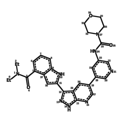 CCN(CC)C(=O)c1cccc2[nH]c(-c3n[nH]c4ncc(-c5cncc(NC(=O)N6CCOCC6)c5)cc34)cc12